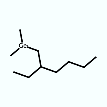 CCCCC(CC)[CH2][Ge]([CH3])[CH3]